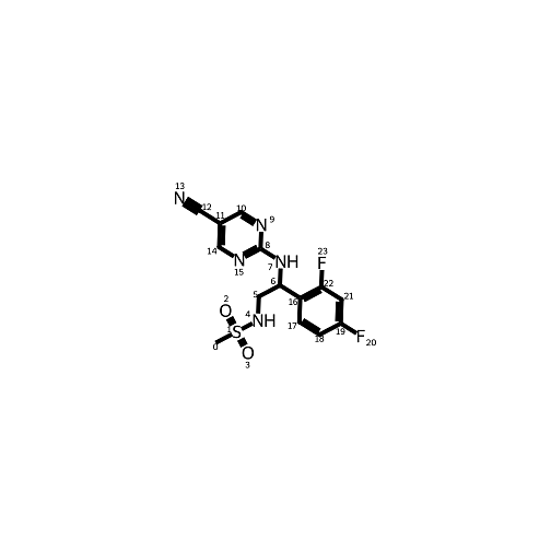 CS(=O)(=O)NCC(Nc1ncc(C#N)cn1)c1ccc(F)cc1F